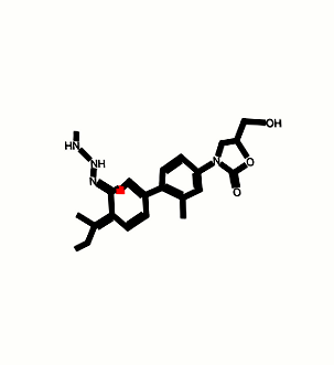 C\C=C(/C=C\C(C(\C)=N\NNC)=C(\C)CC)c1ccc(N2CC(CO)OC2=O)cc1C